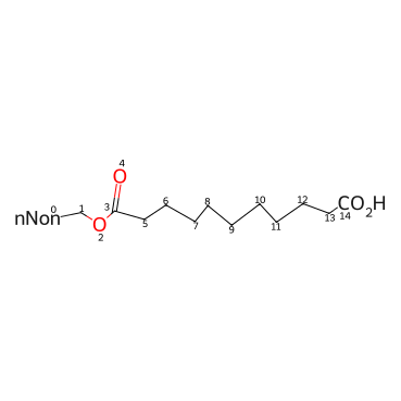 CCCCCCCCCCOC(=O)CCCCCCCCCC(=O)O